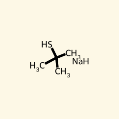 CC(C)(C)S.[NaH]